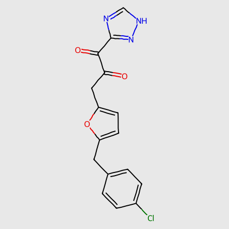 O=C(Cc1ccc(Cc2ccc(Cl)cc2)o1)C(=O)c1nc[nH]n1